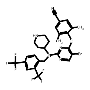 Cc1cc(C#N)cc(C)c1Oc1nc(N(Cc2ccc(C(F)(F)F)cc2C(F)(F)F)C2CCNCC2)ncc1Br